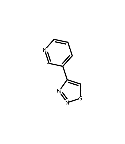 [c]1ncccc1-c1csnn1